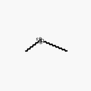 CCCCCCCCCCCCCCCCOS(=O)(=O)C(F)CCCCCCCCCC